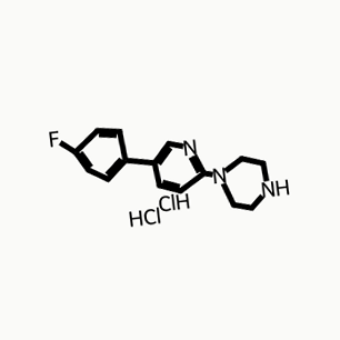 Cl.Cl.Fc1ccc(-c2ccc(N3CCNCC3)nc2)cc1